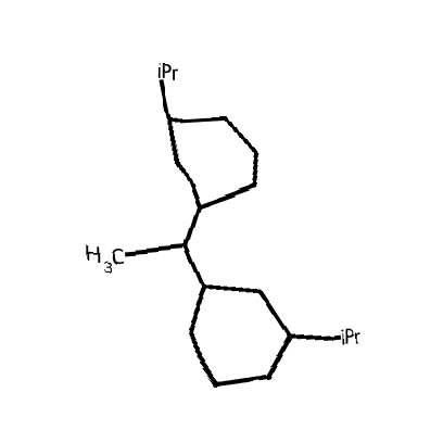 CC(C)C1CCCC(C(C)C2CCCC(C(C)C)C2)C1